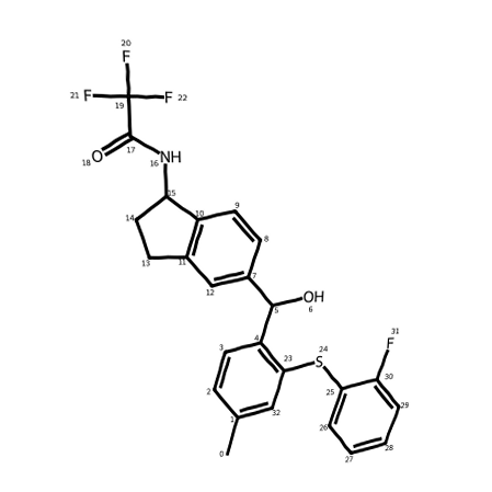 Cc1ccc(C(O)c2ccc3c(c2)CCC3NC(=O)C(F)(F)F)c(Sc2ccccc2F)c1